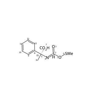 CSO[SH](=O)=N[C@](C)(C(=O)O)c1ccccc1